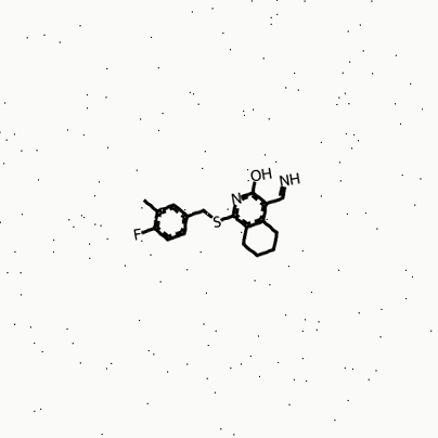 Cc1cc(CSc2nc(O)c(C=N)c3c2CCCC3)ccc1F